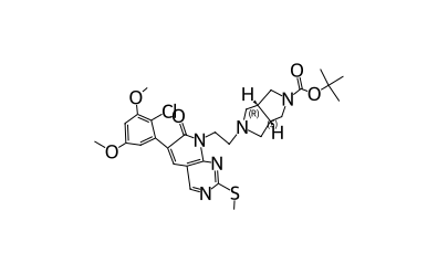 COc1cc(OC)c(Cl)c(-c2cc3cnc(SC)nc3n(CCN3C[C@@H]4CN(C(=O)OC(C)(C)C)C[C@@H]4C3)c2=O)c1